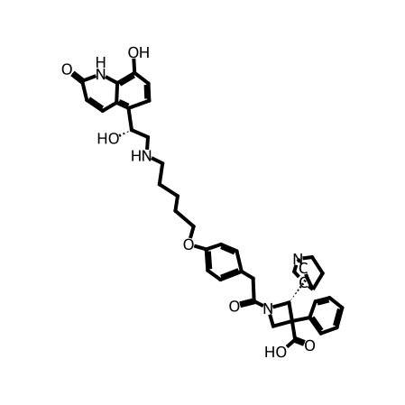 O=C(Cc1ccc(OCCCCCNC[C@H](O)c2ccc(O)c3[nH]c(=O)ccc23)cc1)N1CC(C(=O)O)(c2ccccc2)[C@H]1C1CN2CCC1CC2